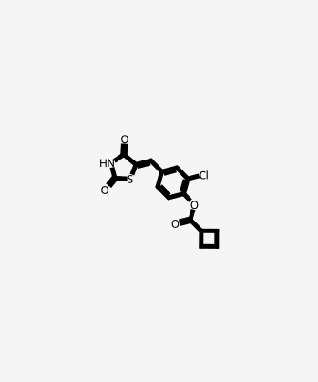 O=C1NC(=O)/C(=C/c2ccc(OC(=O)C3CCC3)c(Cl)c2)S1